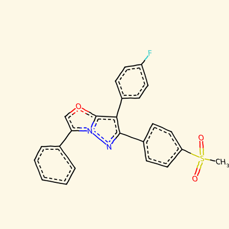 CS(=O)(=O)c1ccc(-c2nn3c(-c4ccccc4)coc3c2-c2ccc(F)cc2)cc1